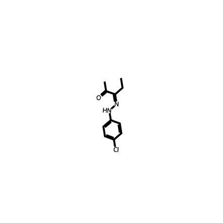 CCC(=NNc1ccc(Cl)cc1)C(C)=O